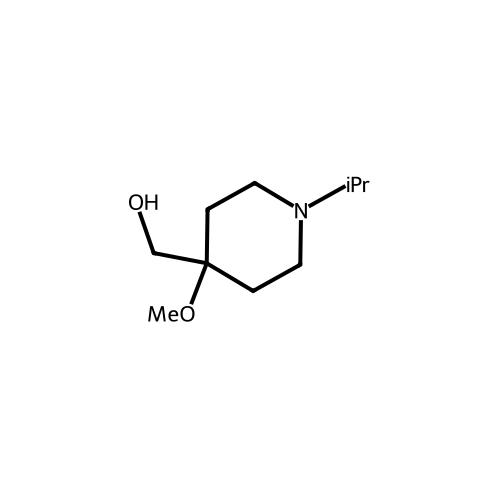 COC1(CO)CCN(C(C)C)CC1